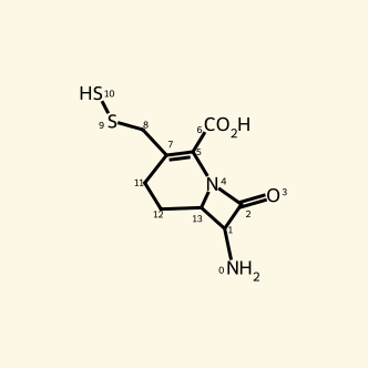 NC1C(=O)N2C(C(=O)O)=C(CSS)CCC12